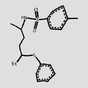 CCC(CCC(C)NS(=O)(=O)c1ccc(C)cc1)Sc1ccccc1